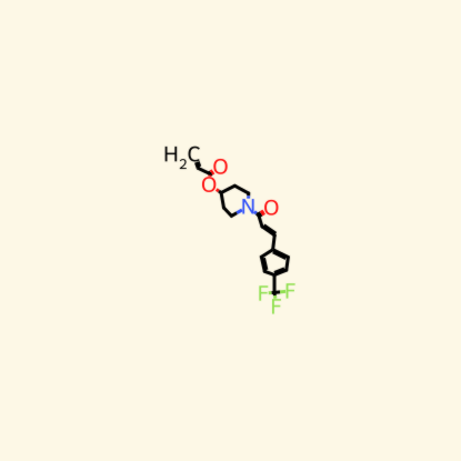 C=CC(=O)OC1CCN(C(=O)/C=C/c2ccc(C(F)(F)F)cc2)CC1